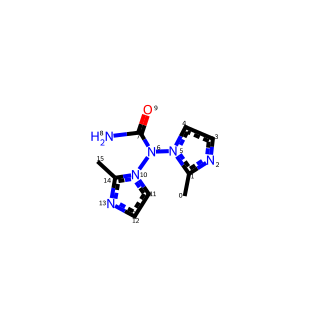 Cc1nccn1N(C(N)=O)n1ccnc1C